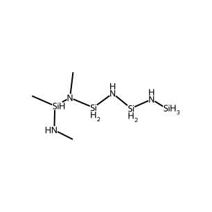 CN[SiH](C)N(C)[SiH2]N[SiH2]N[SiH3]